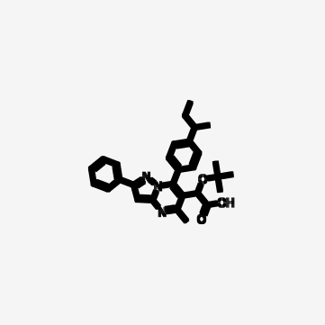 CCC(C)c1ccc(-c2c(C(OC(C)(C)C)C(=O)O)c(C)nc3cc(-c4ccccc4)nn23)cc1